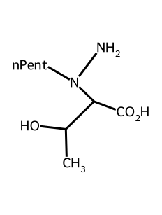 CCCCCN(N)C(C(=O)O)C(C)O